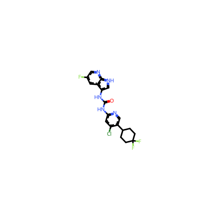 O=C(Nc1cc(Cl)c(C2CCC(F)(F)CC2)cn1)Nc1c[nH]c2ncc(F)cc12